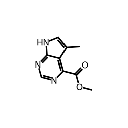 COC(=O)c1ncnc2[nH]cc(C)c12